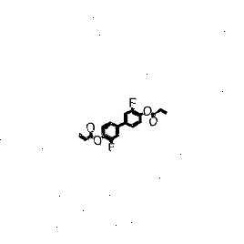 C=CC(=O)Oc1ccc(-c2ccc(OC(=O)CC)c(F)c2)cc1F